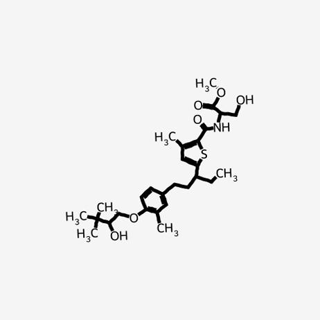 CCC(CCc1ccc(OCC(O)C(C)(C)C)c(C)c1)c1cc(C)c(C(=O)NC(CO)C(=O)OC)s1